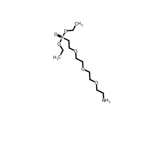 CCOP(=O)(CCOCCOCCOCCN)OCC